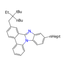 CCCCCCCc1ccc2c(c1)nc1c3cc(CC(CC)(CCCC)C(C)(C)C)ccc3c3ccccc3n21